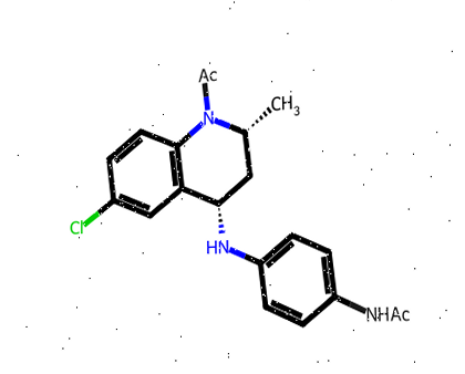 CC(=O)Nc1ccc(N[C@H]2C[C@@H](C)N(C(C)=O)c3ccc(Cl)cc32)cc1